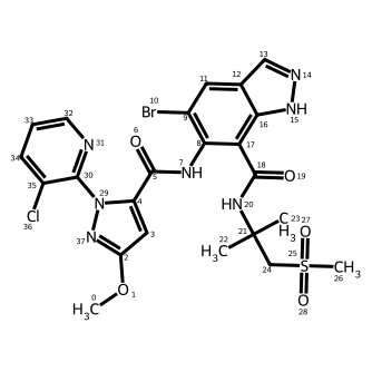 COc1cc(C(=O)Nc2c(Br)cc3cn[nH]c3c2C(=O)NC(C)(C)CS(C)(=O)=O)n(-c2ncccc2Cl)n1